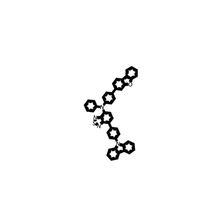 c1ccc(N(c2ccc(-c3ccc4c(c3)oc3ccccc34)cc2)c2ccc(-c3ccc(-n4c5ccccc5c5ccccc54)cc3)c3nsnc23)cc1